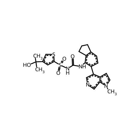 Cn1ccc2c(-c3ccc4c(c3NC(=O)NS(=O)(=O)c3cc(C(C)(C)O)cs3)CCC4)cncc21